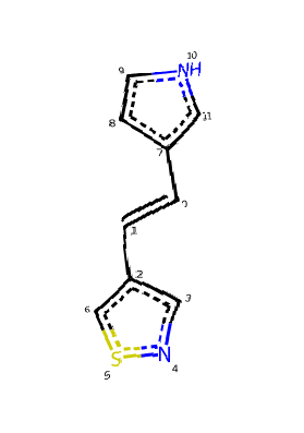 C(=Cc1cnsc1)c1cc[nH]c1